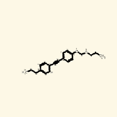 CCCOCOc1ccc(C#Cc2ccc(CCC)cc2)cc1